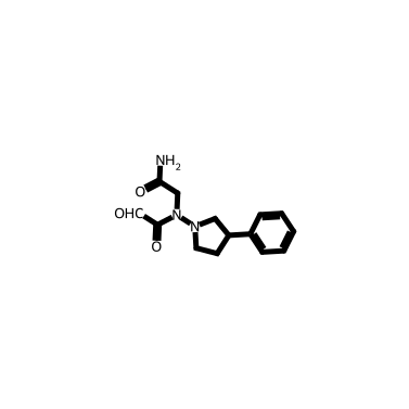 NC(=O)CN(C(=O)C=O)N1CCC(c2ccccc2)C1